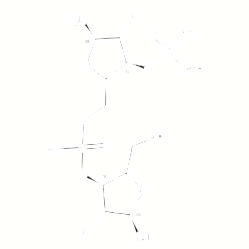 B[C@@H]1OC(COP(=O)(O)O[C@H]2C(CO)O[C@@H](B)C2F)[C@H](OP(=O)(O)OC)C1F